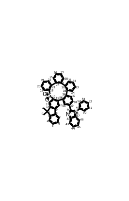 CC1(C)c2ccccc2-c2cc3c(cc21)S(=O)(=O)c1ccccc1-c1ccccc1-c1ccccc1-c1ccc(-c2nc4ccccc4n2-c2ccccc2)cc1-3